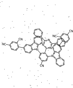 N#Cc1ccc(-c2ccc3c(c2)c2ccccc2n3-c2cc(C#N)cc(-n3c4ccccc4c4cc(-c5ccc(C#N)cc5C#N)ccc43)c2-c2nc(-c3ccccc3)nc(-c3ccccc3)n2)c(C#N)c1